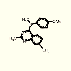 COc1ccc(N(C)c2nc(C)nc3cc(C)ccc23)cc1